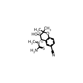 CN(C(N)=S)[C@H]1c2cc(C#N)ccc2OC(C)(C)[C@@H]1O